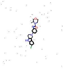 C[C@H]1COCCN1c1nc2cc(N3CCc4[nH]c5cc(F)ccc5c4C3)ccc2o1